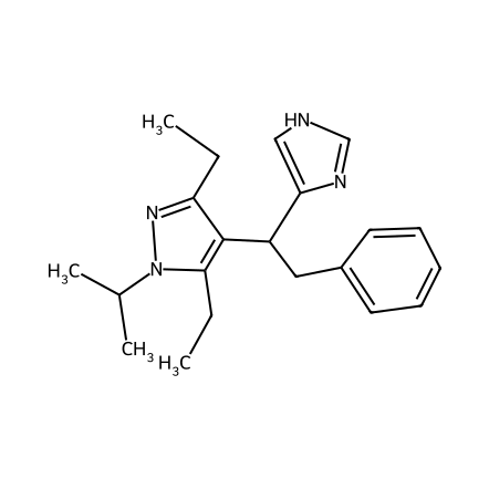 CCc1nn(C(C)C)c(CC)c1C(Cc1ccccc1)c1c[nH]cn1